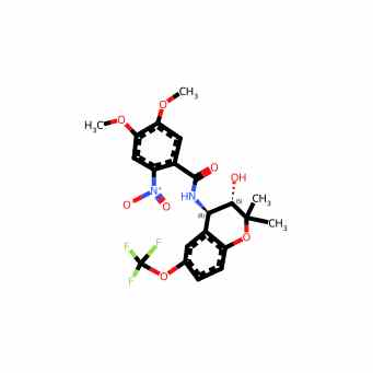 COc1cc(C(=O)N[C@@H]2c3cc(OC(F)(F)F)ccc3OC(C)(C)[C@H]2O)c([N+](=O)[O-])cc1OC